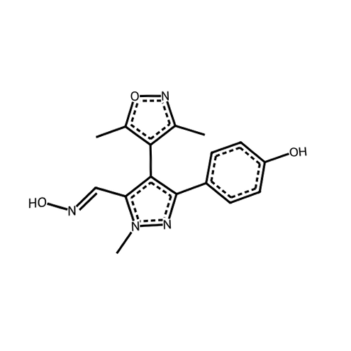 Cc1noc(C)c1-c1c(-c2ccc(O)cc2)nn(C)c1C=NO